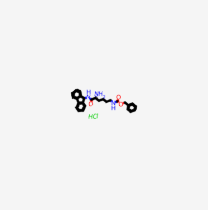 Cl.N[C@@H](CCCCNC(=O)OCc1ccccc1)C(=O)NC1c2ccccc2-c2ccccc21